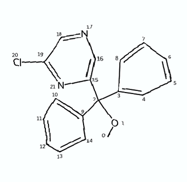 COC(c1ccccc1)(c1ccccc1)c1cncc(Cl)n1